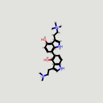 CN(C)CCc1c[nH]c2ccc(-c3ccc(O)c4c(CC[N+](C)(C)C)c[nH]c34)c(O)c12